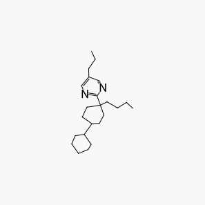 CCCCC1(c2ncc(CCC)cn2)CCC(C2CCCCC2)CC1